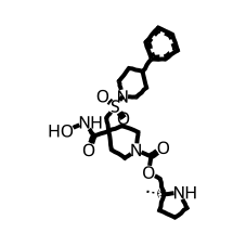 C[C@@]1(COC(=O)N2CCC(CS(=O)(=O)N3CCC(c4ccccc4)CC3)(C(=O)NO)CC2)CCCN1